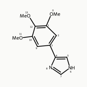 COc1cc(-c2c[nH]cn2)cc(OC)c1OC